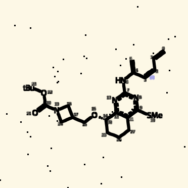 C=C/C=C\C(=C)Nc1nc(SC)c2c(n1)[C@@H](OCC1CN(C(=O)OC(C)(C)C)C1)CCC2